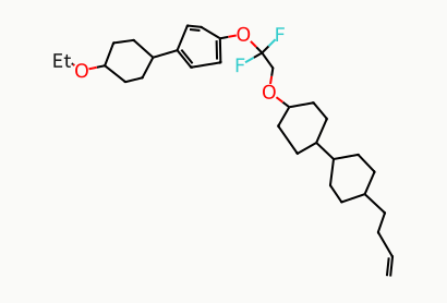 C=CCCC1CCC(C2CCC(OCC(F)(F)Oc3ccc(C4CCC(OCC)CC4)cc3)CC2)CC1